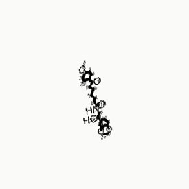 COc1ccc(C(=O)CCCCCC(=O)NC[C@H](O)c2ccc3c(c2)OCCO3)cc1